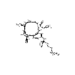 COCCOC(=O)Nc1ccc2c(c1)N[C@@H](C(=O)OC)CCCC[C@H](N)c1nc-2c(C#N)[nH]1